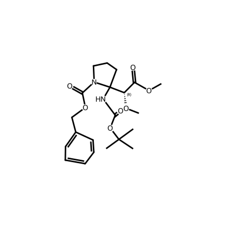 COC(=O)[C@H](OC)C1(NC(=O)OC(C)(C)C)CCCN1C(=O)OCc1ccccc1